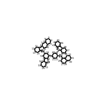 c1ccc2cc3c(cc2c1)c1ccccc1n3-c1cc(-c2ccc(N(c3cccc4ccccc34)c3cccc4c3sc3ccccc34)cc2)c2sc3ccccc3c2c1